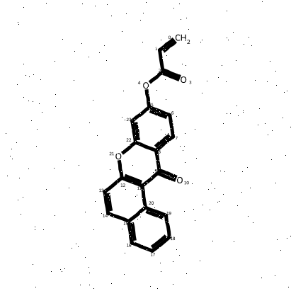 C=CC(=O)Oc1ccc2c(=O)c3c(ccc4ccccc43)oc2c1